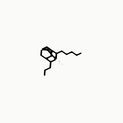 CCCCCC1C2CC3CC(C2)C(CCC)[C@@]1(N)C3